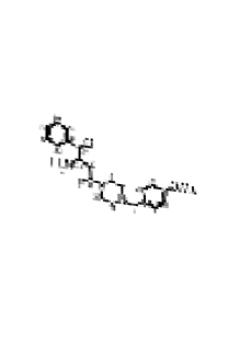 COc1ccc(CN2CCN(C(F)CC(N)C(=O)c3ccccc3)CC2)cc1